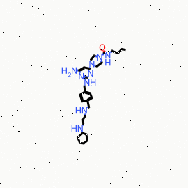 CCCCNC(=O)N1CCN(c2cc(N)nc(NCc3ccc(CNCCCNC4CCCCC4)cc3)n2)CC1